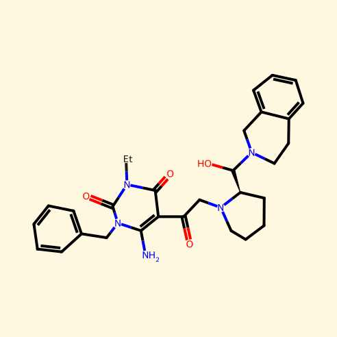 CCn1c(=O)c(C(=O)CN2CCCC[C@@H]2C(O)N2CCc3ccccc3C2)c(N)n(Cc2ccccc2)c1=O